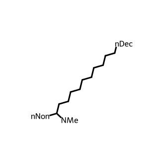 CCCCCCCCCCCCCCCCCCCCC(CCCCCCCCC)NC